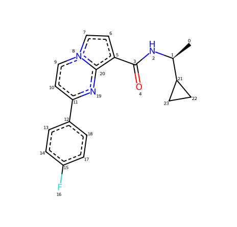 C[C@H](NC(=O)c1ccn2ccc(-c3ccc(F)cc3)nc12)C1CC1